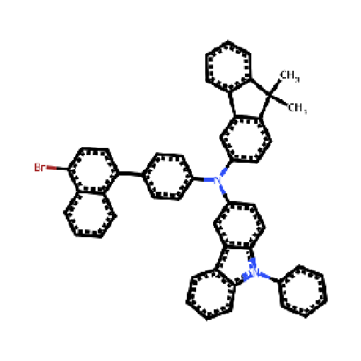 CC1(C)c2ccccc2-c2cc(N(c3ccc(-c4ccc(Br)c5ccccc45)cc3)c3ccc4c(c3)c3ccccc3n4-c3ccccc3)ccc21